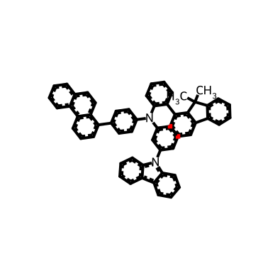 CC1(C)c2ccccc2-c2cccc(-c3ccccc3N(c3ccc(-c4cccc5c4ccc4ccccc45)cc3)c3cccc(-n4c5ccccc5c5ccccc54)c3)c21